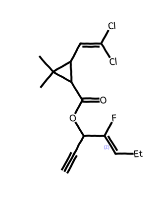 C#CC(OC(=O)C1C(C=C(Cl)Cl)C1(C)C)/C(F)=C/CC